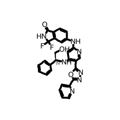 O=C1NC(F)(F)c2cc(Nc3cc(N[C@H](CO)c4ccccc4)c(-c4nnc(-c5ccccn5)o4)cn3)ccc21